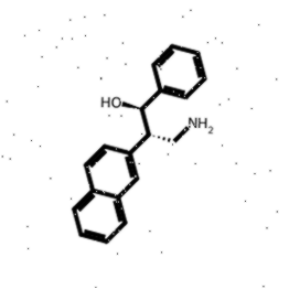 NC[C@H](c1ccc2ccccc2c1)[C@@H](O)c1ccccc1